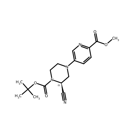 COC(=O)c1ccc(N2CCN(C(=O)OC(C)(C)C)[C@H](C#N)C2)cn1